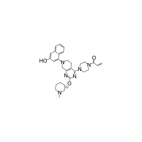 C=CC(=O)N1CCN(c2nc(O[C@H]3CCCN(C)C3)nc3c2CCN(c2cc(O)cc4ccccc24)C3)CC1